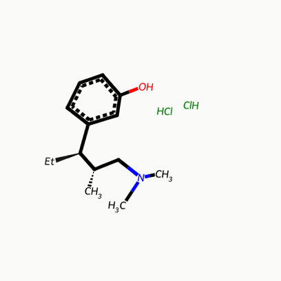 CC[C@@H](c1cccc(O)c1)[C@@H](C)CN(C)C.Cl.Cl